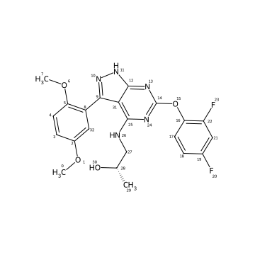 COc1ccc(OC)c(-c2n[nH]c3nc(Oc4ccc(F)cc4F)nc(NC[C@H](C)O)c23)c1